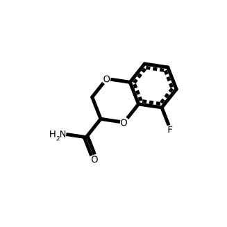 NC(=O)C1COc2cccc(F)c2O1